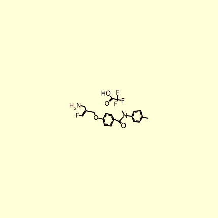 Cc1ccc(N(C)C(=O)c2ccc(OCC(=CF)CN)cc2)cc1.O=C(O)C(F)(F)F